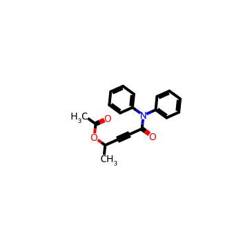 CC(=O)OC(C)C#CC(=O)N(c1ccccc1)c1ccccc1